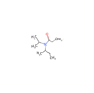 [CH2]CC(=O)N(C(C)C)C(C)CC